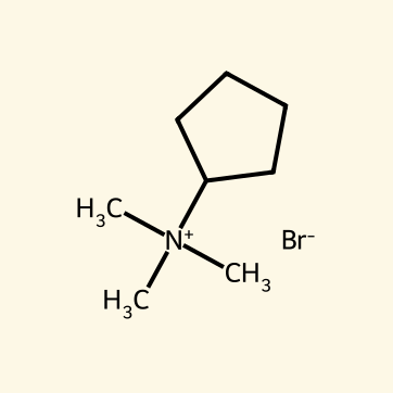 C[N+](C)(C)C1CCCC1.[Br-]